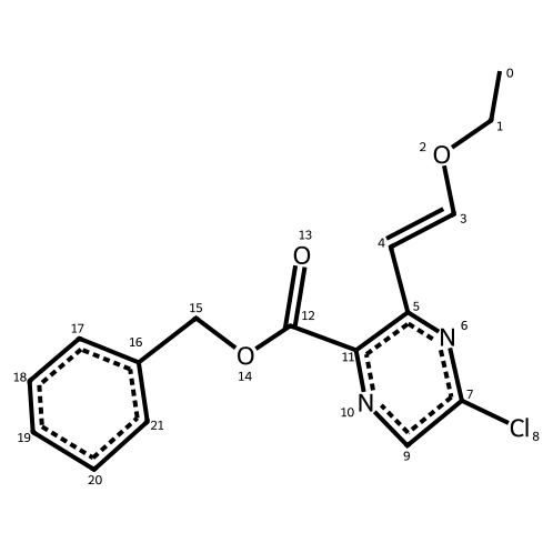 CCOC=Cc1nc(Cl)cnc1C(=O)OCc1ccccc1